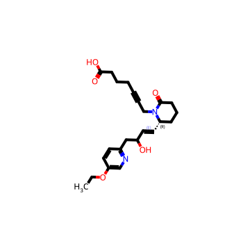 CCOc1ccc(CC(O)/C=C/[C@H]2CCCC(=O)N2CC#CCCCC(=O)O)nc1